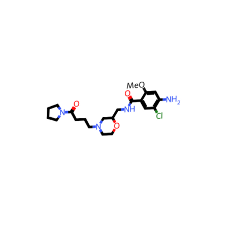 COc1cc(N)c(Cl)cc1C(=O)NCC1CN(CCCC(=O)N2CCCC2)CCO1